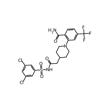 NC(=O)c1ccc(C(F)(F)F)cc1N1CCC(CC(=O)NS(=O)(=O)c2cc(Cl)cc(Cl)c2)CC1